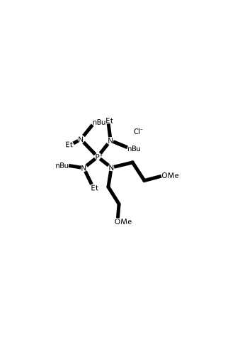 CCCCN(CC)[P+](N(CC)CCCC)(N(CC)CCCC)N(CCOC)CCOC.[Cl-]